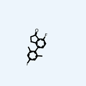 Cc1cc(I)cc(C)c1-c1ccc(F)c2c1CCC2=O